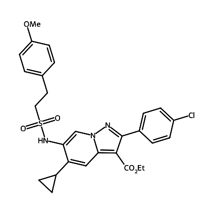 CCOC(=O)c1c(-c2ccc(Cl)cc2)nn2cc(NS(=O)(=O)CCc3ccc(OC)cc3)c(C3CC3)cc12